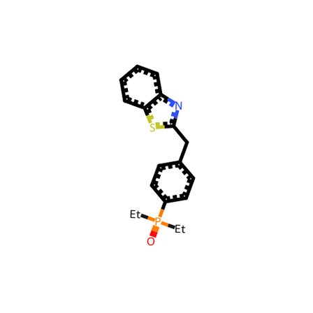 CCP(=O)(CC)c1ccc(Cc2nc3ccccc3s2)cc1